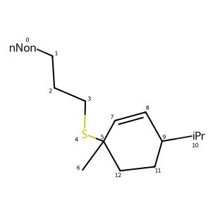 CCCCCCCCCCCCSC1(C)C=CC(C(C)C)CC1